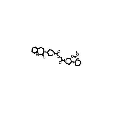 COC(=O)[C@@H]1CCCCN1C1CCN(C(=O)COC(=O)N2CCC(N3CCc4ccccc4NC3=O)CC2)CC1